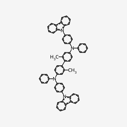 Cc1cc(N(c2ccccc2)c2ccc(-n3c4ccccc4c4ccccc43)cc2)ccc1-c1ccc(N(c2ccccc2)c2ccc(-n3c4ccccc4c4ccccc43)cc2)cc1C